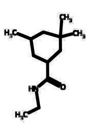 CCNC(=O)C1CC(C)CC(C)(C)C1